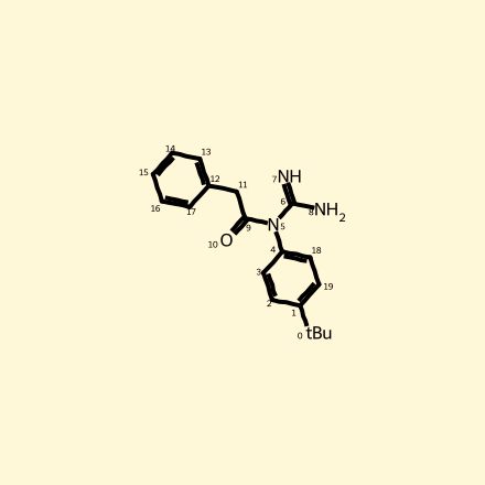 CC(C)(C)c1ccc(N(C(=N)N)C(=O)Cc2ccccc2)cc1